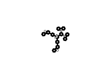 c1ccc2c(c1)oc1ccc(-c3ccc(-c4cc(-c5cc(-n6c7ccccc7c7ccccc76)cc(-n6c7ccccc7c7ccccc76)c5)nc(-c5ccc(-c6ccc7oc8ccccc8c7c6)cc5)n4)cc3)cc12